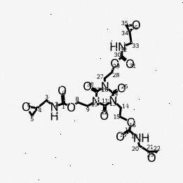 O=C(NCC1CO1)OCCn1c(=O)n(CCOC(=O)NCC2CO2)c(=O)n(CCOC(=O)NCC2CO2)c1=O